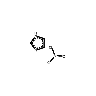 [Cl][Al]([Cl])[Cl].c1c[nH]cn1